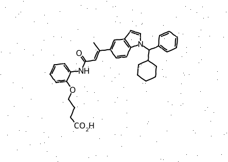 CC(=CC(=O)Nc1ccccc1OCCCC(=O)O)c1ccc2c(ccn2C(c2ccccc2)C2CCCCC2)c1